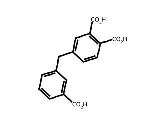 O=C(O)c1cccc(Cc2ccc(C(=O)O)c(C(=O)O)c2)c1